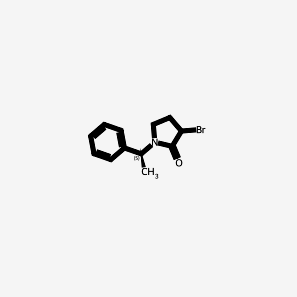 C[C@@H](c1ccccc1)N1CCC(Br)C1=O